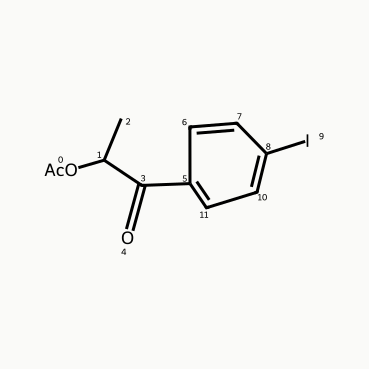 CC(=O)OC(C)C(=O)c1ccc(I)cc1